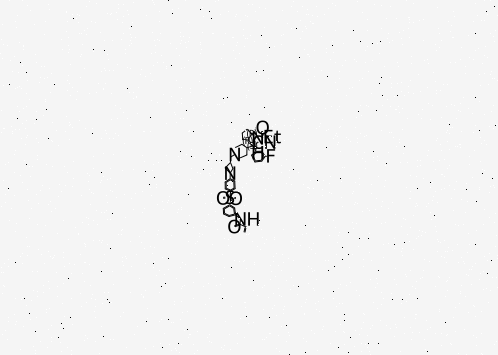 C=CC(=O)Nc1cccc(S(=O)(=O)c2ccc(N3CC(CN4CCC([C@@](C#N)(c5cccc(F)c5)[C@H]5CCC[C@@]5(C)NC(=O)CC)CC4)C3)cc2)c1